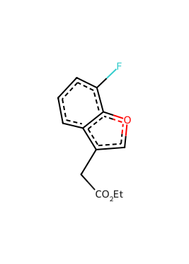 CCOC(=O)Cc1coc2c(F)cccc12